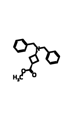 COC(=O)[C@H]1C[C@@H](N(Cc2ccccc2)Cc2ccccc2)C1